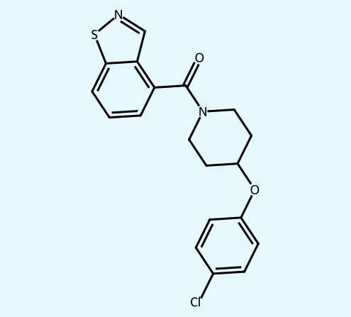 O=C(c1cccc2sncc12)N1CCC(Oc2ccc(Cl)cc2)CC1